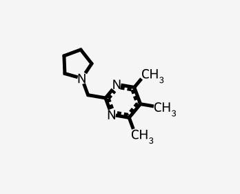 Cc1nc(CN2CCCC2)nc(C)c1C